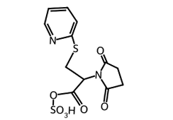 O=C(OS(=O)(=O)O)C(CSc1ccccn1)N1C(=O)CCC1=O